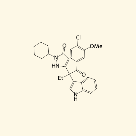 CCC(C(=O)c1ccc(Cl)c(OC)c1)(c1cc(=O)n(C2CCCCC2)[nH]1)c1c[nH]c2ccccc12